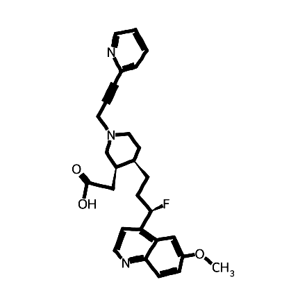 COc1ccc2nccc([C@H](F)CC[C@@H]3CCN(CC#Cc4ccccn4)C[C@@H]3CC(=O)O)c2c1